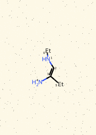 CCN/C=C(\N)CC